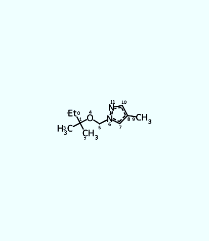 C[CH]C(C)(C)OCn1cc(C)cn1